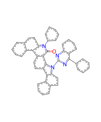 O=c1c2c(ccc3c4c5ccccc5ccc4n(-c4nc(-c5ccccc5)c5ccccc5n4)c32)c2c3ccccc3ccc2n1-c1ccccc1